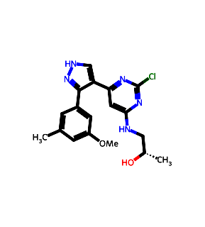 COc1cc(C)cc(-c2n[nH]cc2-c2cc(NC[C@H](C)O)nc(Cl)n2)c1